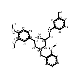 COc1ccccc1CN(CCc1ccc(OC)c(OC)c1)CC(O)COc1cccc(C)c1